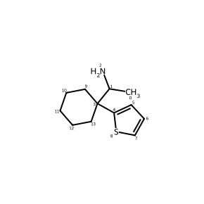 CC(N)C1(c2cccs2)CCCCC1